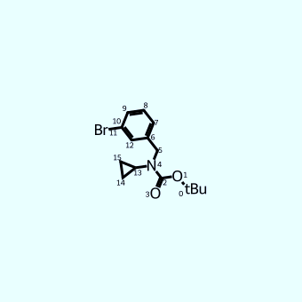 CC(C)(C)OC(=O)N(Cc1cccc(Br)c1)C1CC1